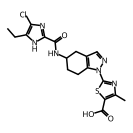 CCc1[nH]c(C(=O)NC2CCc3c(cnn3-c3nc(C)c(C(=O)O)s3)C2)nc1Cl